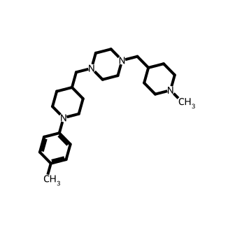 Cc1ccc(N2CCC(CN3CCN(CC4CCN(C)CC4)CC3)CC2)cc1